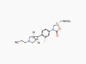 CC(=O)NC[C@H]1CN(c2ccc(C3[C@H]4CN(CCC#N)C[C@@H]34)c(F)c2)C(=O)O1